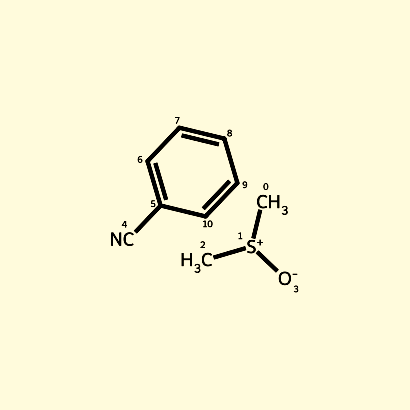 C[S+](C)[O-].N#Cc1ccccc1